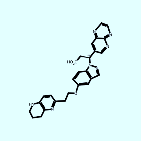 O=C(O)C[C@@H](c1cnc2nccnc2c1)n1ncc2cc(OCCc3ccc4c(n3)CCCN4)ccc21